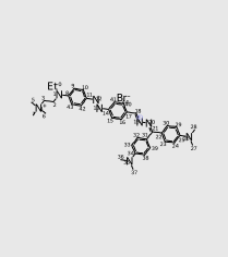 CCN(CC[N+](C)(C)C)c1ccc(N=Nc2ccc(/C=N/N=C(c3ccc(N(C)C)cc3)c3ccc(N(C)C)cc3)cc2)cc1.[Br-]